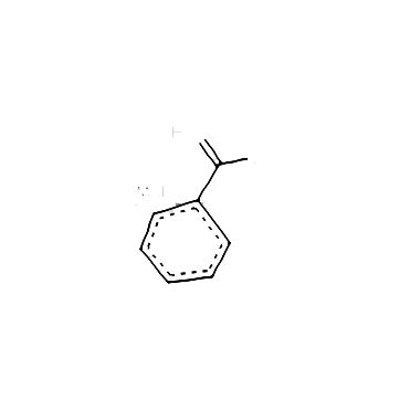 C=C(C)c1ccccc1.[MgH2]